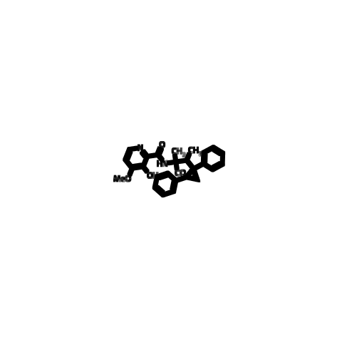 COc1ccnc(C(=O)NC(C)(C(=O)O)C(C)C2(c3ccccc3)CC2c2ccccc2)c1O